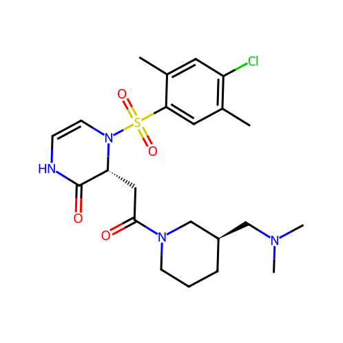 Cc1cc(S(=O)(=O)N2C=CNC(=O)[C@H]2CC(=O)N2CCC[C@H](CN(C)C)C2)c(C)cc1Cl